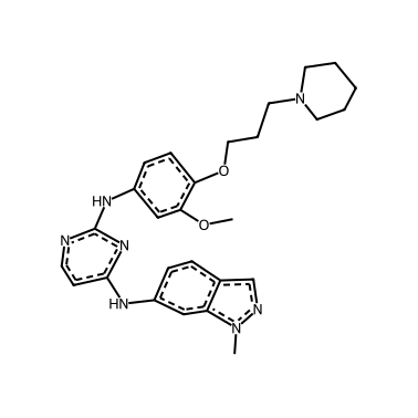 COc1cc(Nc2nccc(Nc3ccc4cnn(C)c4c3)n2)ccc1OCCCN1CCCCC1